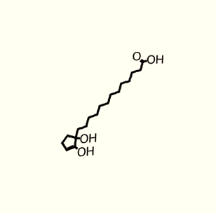 O=C(O)CCCCCCCCCCCCC1(O)CCC=C1O